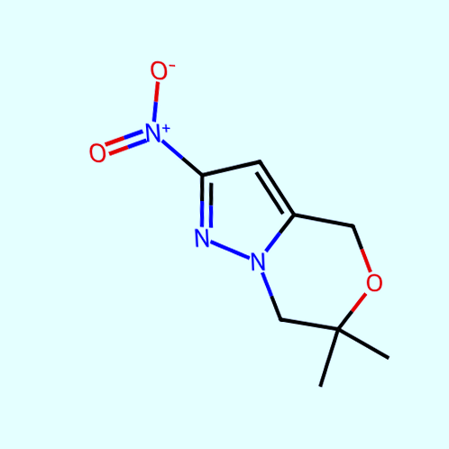 CC1(C)Cn2nc([N+](=O)[O-])cc2CO1